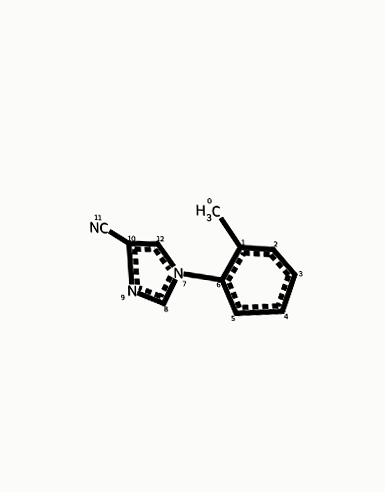 Cc1ccccc1-n1cnc(C#N)c1